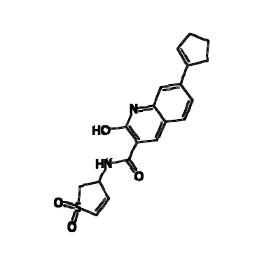 O=C(NC1C=CS(=O)(=O)C1)c1cc2ccc(C3=CCCC3)cc2nc1O